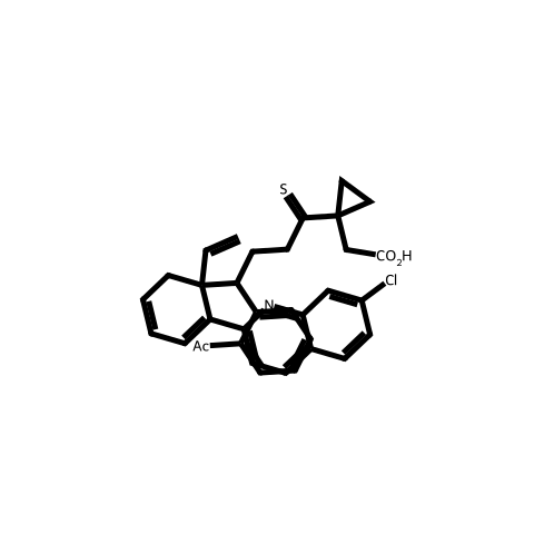 C=CC1(C(CCC(=S)C2(CC(=O)O)CC2)c2ccccc2C(C)=O)CC=CC=C1c1ccc2ccc(Cl)cc2n1